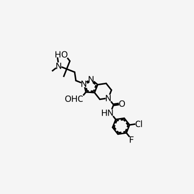 CN(C)C(C)(CO)CCn1nc2c(c1C=O)CN(C(=O)Nc1ccc(F)c(Cl)c1)CC2